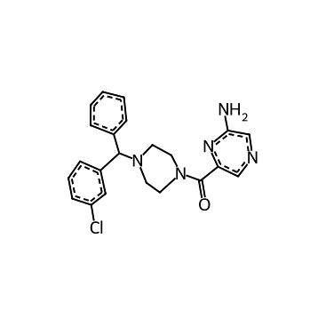 Nc1cncc(C(=O)N2CCN(C(c3ccccc3)c3cccc(Cl)c3)CC2)n1